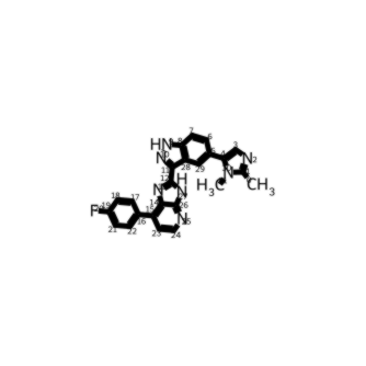 Cc1ncc(-c2ccc3[nH]nc(-c4nc5c(-c6ccc(F)cc6)ccnc5[nH]4)c3c2)n1C